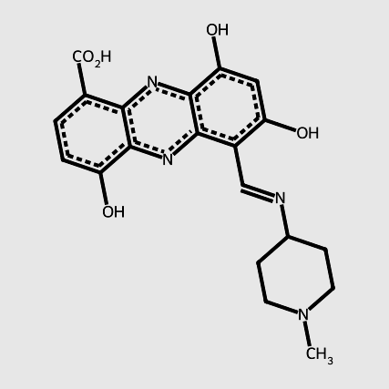 CN1CCC(N=Cc2c(O)cc(O)c3nc4c(C(=O)O)ccc(O)c4nc23)CC1